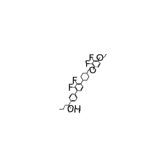 CCCC(O)c1ccc(-c2ccc(C3CCC(COc4ccc(OCC)c(F)c4F)CC3)c(F)c2F)cc1